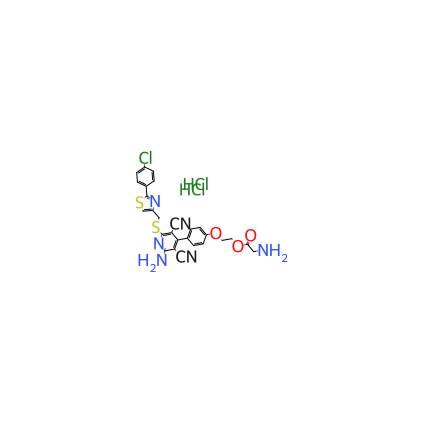 Cl.Cl.N#Cc1c(N)nc(SCc2csc(-c3ccc(Cl)cc3)n2)c(C#N)c1-c1ccc(OCCOC(=O)CN)cc1